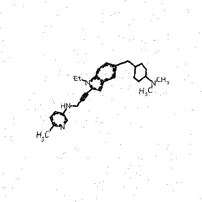 CCn1c(C#CCNc2ccc(C)nc2)cc2cc(CC3CCC(N(C)C)CC3)ccc21